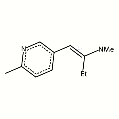 CC/C(=C\c1ccc(C)nc1)NC